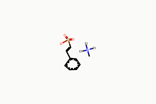 CC[N+](C)(CC)CC.O=S(=O)([O-])C=Cc1ccccc1